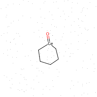 [O]=[Ge]1[CH2]CCC[CH2]1